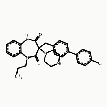 CCCN1C(=O)C(Cc2ccc(-c3ccc(Cl)cc3)cc2)(N2CCNCC2)C(=O)Nc2ccccc21